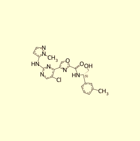 Cc1cccc([C@@H](CO)NC(=O)c2nc(-c3nc(Nc4ccnn4C)ncc3Cl)co2)c1